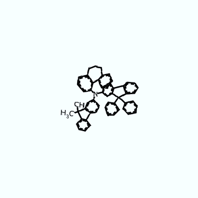 CC1(C)c2ccccc2-c2ccc(N(c3ccc4c(c3)C(c3ccccc3)(c3ccccc3)c3ccccc3-4)c3cccc4c3-c3ccccc3CCC4)cc21